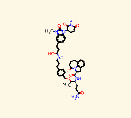 C[C@@H](OCc1ccc(CCCNC(O)CCc2ccc3c(c2)n(C)c(=O)n3C2CCC(=O)NC2=O)cc1)[C@H](CCC(N)=O)NC(=O)[C@@H]1Cc2cccc3c2N1C(=O)CCC3